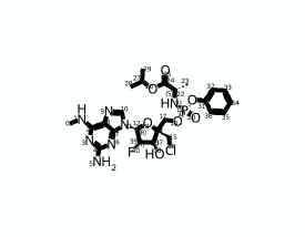 CNc1nc(N)nc2c1ncn2[C@@H]1O[C@](CCl)(CO[P@@](=O)(N[C@@H](C)C(=O)OC(C)C)Oc2ccccc2)[C@@H](O)[C@H]1F